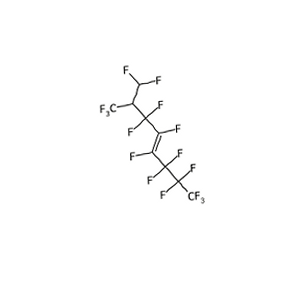 FC(=C(F)C(F)(F)C(F)(F)C(F)(F)F)C(F)(F)C(C(F)F)C(F)(F)F